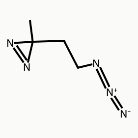 CC1(CCN=[N+]=[N-])N=N1